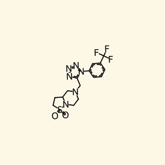 O=S1(=O)CCC2CN(Cc3nnnn3-c3cccc(C(F)(F)F)c3)CCN21